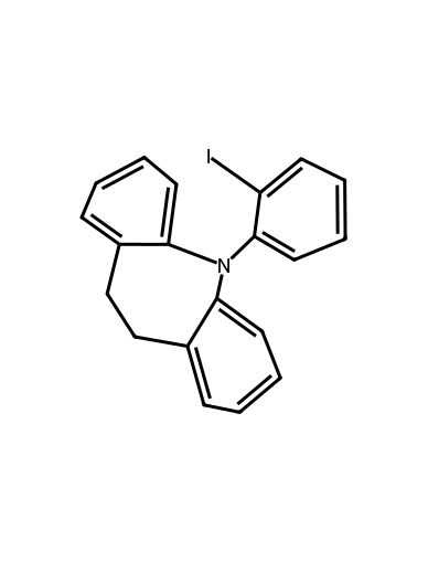 Ic1ccccc1N1c2ccccc2CCc2ccccc21